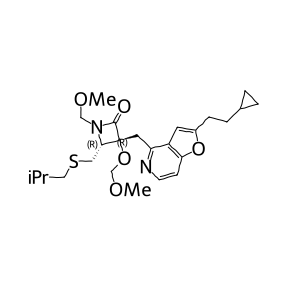 COCO[C@@]1(Cc2nccc3oc(CCC4CC4)cc23)C(=O)N(COC)[C@H]1CSCC(C)C